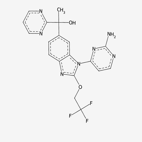 CC(O)(c1ccc2nc(OCC(F)(F)F)n(-c3ccnc(N)n3)c2c1)c1ncccn1